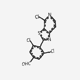 O=Cc1cc(Cl)c(-c2nc3ccnc(Cl)c3s2)c(Cl)c1